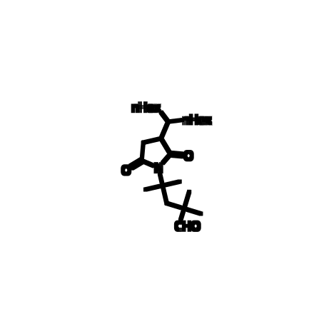 CCCCCCC(CCCCCC)C1CC(=O)N(C(C)(C)CC(C)(C)C=O)C1=O